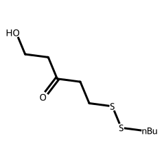 CCCCSSCCC(=O)CCO